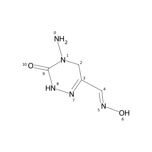 NN1CC(C=NO)=NNC1=O